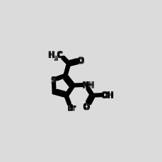 CC(=O)c1scc(Br)c1NC(=O)O